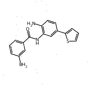 Bc1cccc(C(=O)Nc2cc(-c3cccs3)ccc2N)c1